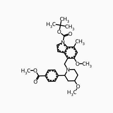 COC(=O)c1ccc(C2CC(OC)CCN2Cc2c(OC)cc(C)c3c2ccn3C(=O)OC(C)(C)C)cc1